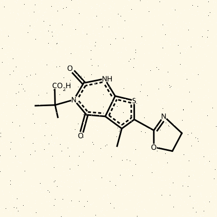 Cc1c(C2=NCCO2)sc2[nH]c(=O)n(C(C)(C)C(=O)O)c(=O)c12